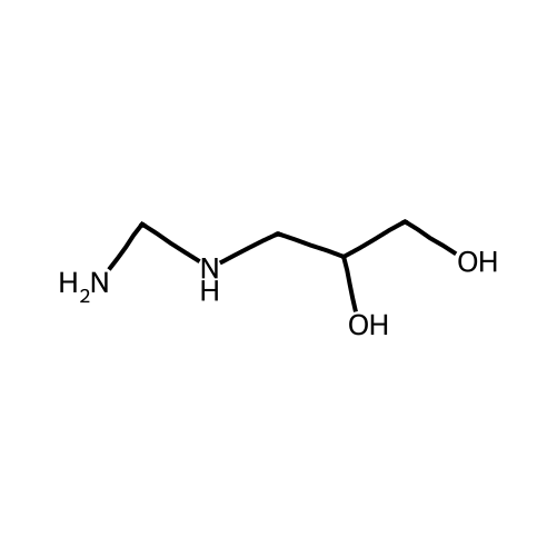 NCNCC(O)CO